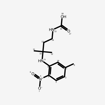 Cc1ccc([N+](=O)[O-])c(NC(C)(C)CCNC(=O)O)c1